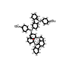 CC(C)(C)c1ccc(N(c2cccc(-n3ccc4ccc5c6ccccc6n(-c6ccccc6)c5c43)c2)c2ccc3c(c2)c2ccccc2n3-c2ccc(C(C)(C)C)cc2)cc1